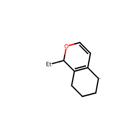 CCC1OC=CC2=C1CCC[CH]2